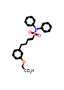 O=C(O)COc1cccc(CCC=CS(=O)(=O)N(c2ccccc2)c2ccccc2)c1